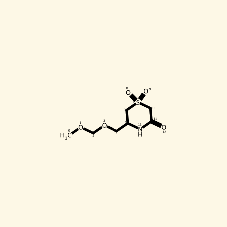 COCOCC1CS(=O)(=O)CC(=O)N1